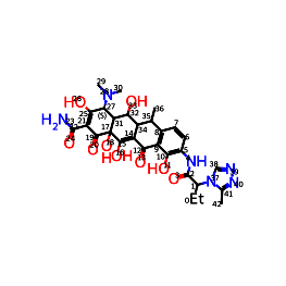 CCC(C(=O)Nc1ccc2c(c1O)C(=O)C1=C(O)C3(O)C(=O)C(C(N)=O)=C(O)[C@@H](N(C)C)C3C(O)C1C2C)n1cnnc1C